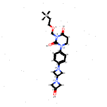 C[Si](C)(C)CCOCN1C(=O)CCN(c2ccc(N3CC(N4CC(=O)C4)C3)cc2)C1=O